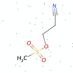 CS(=O)(=O)OCCC#N